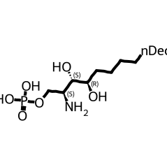 CCCCCCCCCCCCCC[C@@H](O)[C@@H](O)[C@@H](N)COP(=O)(O)O